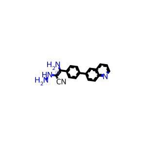 N#C/C(NN)=C(/N)c1ccc(-c2ccc3ncccc3c2)cc1